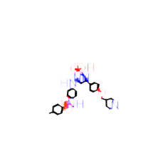 Cc1ccc(S(=O)(=O)Nc2ccc(Nc3cc(-c4ccc(OCC5CCN(C)CC5)cc4)ncn3)cc2)cc1.O=CO